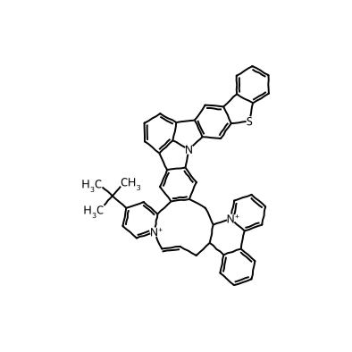 CC(C)(C)c1cc[n+]2c(c1)-c1cc3c4cccc5c6cc7c(cc6n(c3cc1CC1C(C/C=C/2)c2ccccc2-c2cccc[n+]21)c45)sc1ccccc17